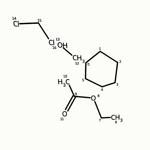 C1CCCCC1.CCOC(C)=O.CO.ClCCl